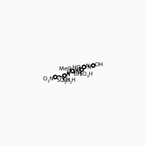 COc1cc(N=Nc2c(S(=O)(=O)O)cc3cc(N=Nc4ccc(O)cc4)ccc3c2O)c(O)cc1N=Nc1ccc(C=Cc2ccc([N+](=O)[O-])cc2S(=O)(=O)O)c(S(=O)(=O)O)c1